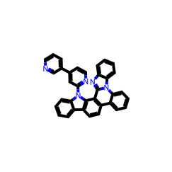 c1cncc(-c2ccnc(-n3c4ccccc4c4ccc5c6ccccc6n6c7ccccc7nc6c5c43)c2)c1